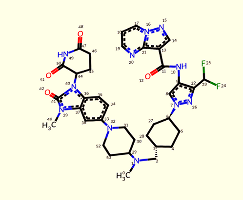 CN(C[C@H]1CC[C@H](n2cc(NC(=O)c3cnn4cccnc34)c(C(F)F)n2)CC1)C1CCN(c2ccc3c(c2)n(C)c(=O)n3C2CCC(=O)NC2=O)CC1